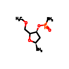 B[C@H]1C[C@@H](O[PH](B)=O)C(COC)O1